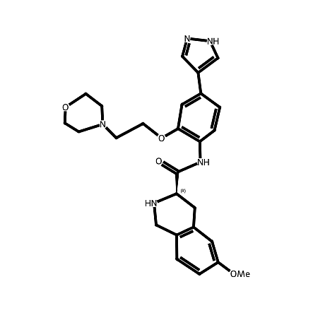 COc1ccc2c(c1)C[C@H](C(=O)Nc1ccc(-c3cn[nH]c3)cc1OCCN1CCOCC1)NC2